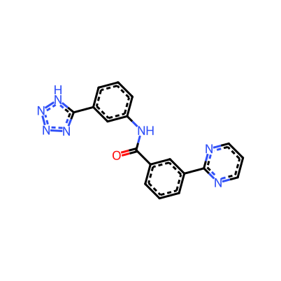 O=C(Nc1cccc(-c2nnn[nH]2)c1)c1cccc(-c2ncccn2)c1